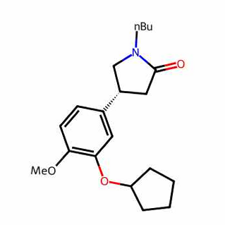 CCCCN1C[C@@H](c2ccc(OC)c(OC3CCCC3)c2)CC1=O